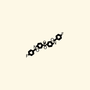 O=S(=O)(c1ccc2nc(-c3ccc(F)cc3)oc2c1)c1ccc2nc(-c3ccc(F)cc3)oc2c1